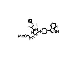 COC[C@@H](C)Oc1nc(C(=O)NC23CC(C2)C3)nc(N2CCC(c3c[nH]c4ncccc34)CC2)n1